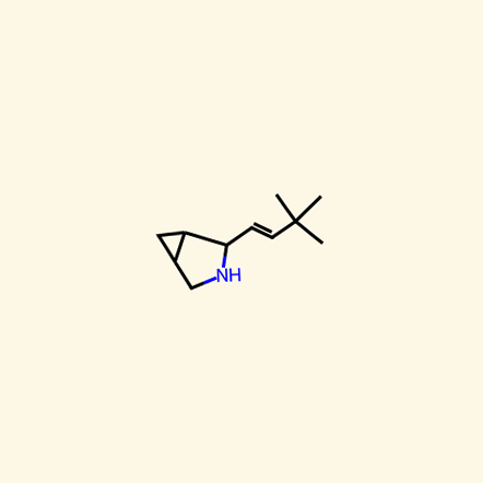 CC(C)(C)/C=C/C1NCC2CC21